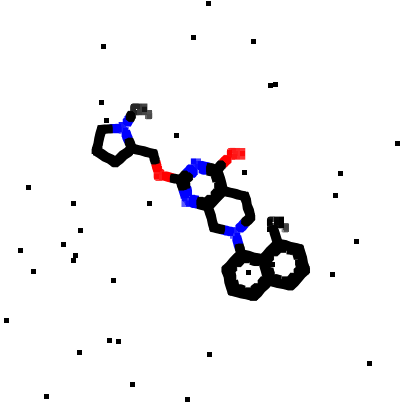 Cc1cccc2cccc(N3CCc4c(O)nc(OCC5CCCN5C)nc4C3)c12